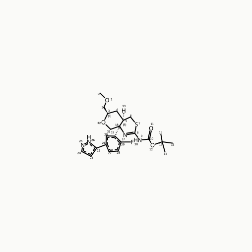 COC[C@H]1C[C@H]2CSC(NC(=O)OC(C)(C)C)=N[C@@]2(c2cc(-c3ccn[nH]3)ccc2F)CO1